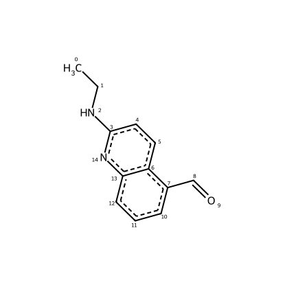 CCNc1ccc2c(C=O)cccc2n1